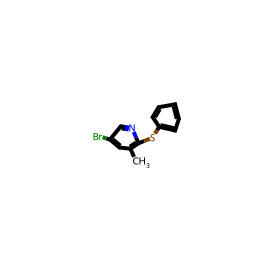 Cc1cc(Br)cnc1Sc1ccccc1